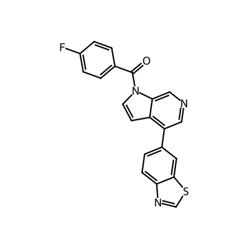 O=C(c1ccc(F)cc1)n1ccc2c(-c3ccc4ncsc4c3)cncc21